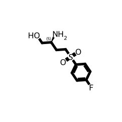 N[C@H](CO)CCS(=O)(=O)c1ccc(F)cc1